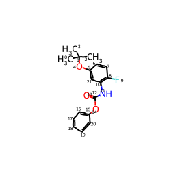 CC(C)(C)Oc1ccc(F)c(NC(=O)Oc2ccccc2)c1